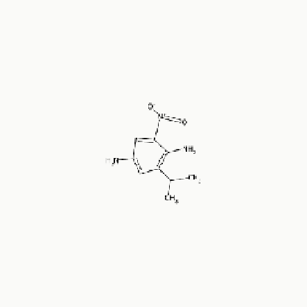 CC(C)c1cc(N)cc([N+](=O)[O-])c1N